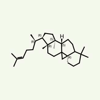 CC(C)=CCC[C@@H](C)[C@H]1CC[C@@]2(C)[C@@H]3CCC4C(C)(C)CCC[C@@]45CC35CC[C@]12C